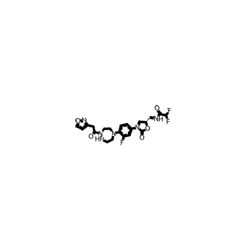 O=C(NC[C@H]1CN(c2ccc(N3CCNN(C(=O)Cc4ccon4)CC3)c(F)c2)C(=O)O1)C(F)F